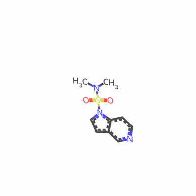 CN(C)S(=O)(=O)n1ccc2cnccc21